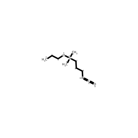 CCCO[Si](C)(C)CCCN=C=O